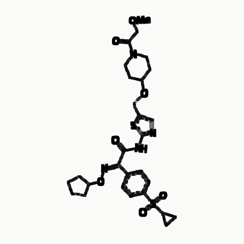 COCC(=O)N1CCC(OCc2cnc(NC(=O)/C(=N/OC3CCCC3)c3ccc(S(=O)(=O)C4CC4)cc3)s2)CC1